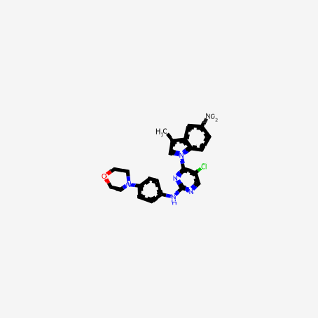 Cc1cn(-c2nc(Nc3ccc(N4CCOCC4)cc3)ncc2Cl)c2ccc([N+](=O)[O-])cc12